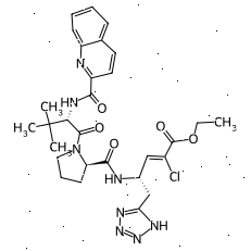 CCOC(=O)/C(Cl)=C/[C@H](Cc1nnn[nH]1)NC(=O)[C@H]1CCCN1C(=O)[C@@H](NC(=O)c1ccc2ccccc2n1)C(C)(C)C